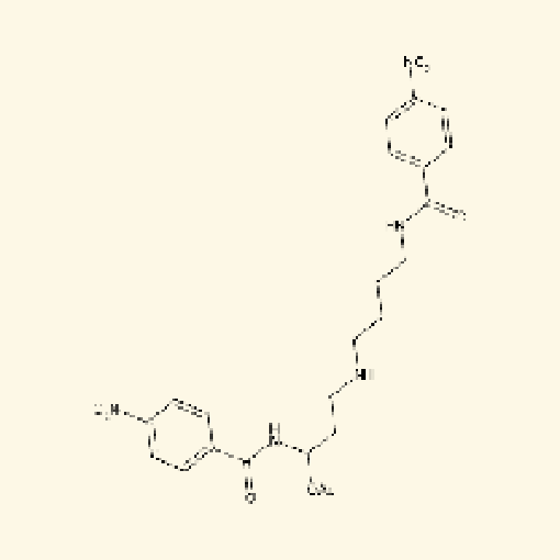 CC(=O)OC(CCNCCCCNC(=O)c1ccc([N+](=O)[O-])cc1)NC(=O)c1ccc([N+](=O)[O-])cc1